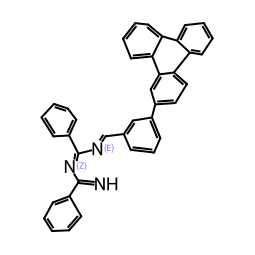 N=C(/N=C(\N=C\c1cccc(-c2ccc3c4ccccc4c4ccccc4c3c2)c1)c1ccccc1)c1ccccc1